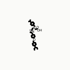 CCC(CC)c1ccc(COc2ccc(-c3csc(CN(CC(=O)O)Cc4ccc(C(C)C)cc4)n3)cc2)cc1